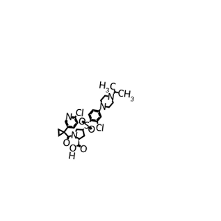 CC(C)N1CCN(c2ccc(S(=O)(=O)[C@@H]3C[C@@H](C(=O)O)N(C(=O)C4(c5ccc(Cl)nc5)CC4)C3)c(Cl)c2)CC1